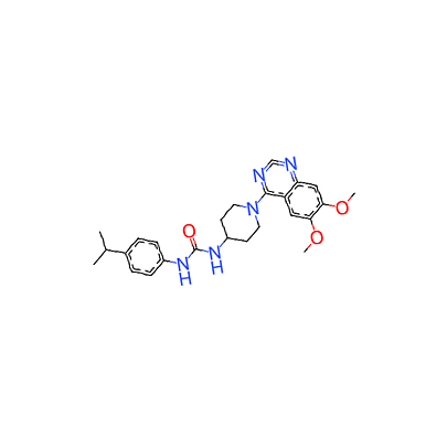 COc1cc2ncnc(N3CCC(NC(=O)Nc4ccc(C(C)C)cc4)CC3)c2cc1OC